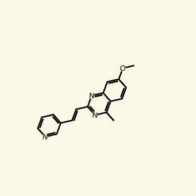 COc1ccc2c(C)nc(/C=C/c3cccnc3)nc2c1